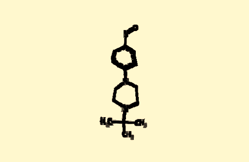 CC(C)(C)N1CCN(c2ccc(N=O)cc2)CC1